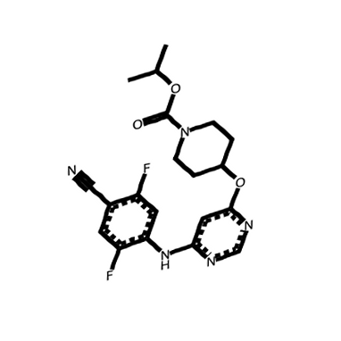 CC(C)OC(=O)N1CCC(Oc2cc(Nc3cc(F)c(C#N)cc3F)ncn2)CC1